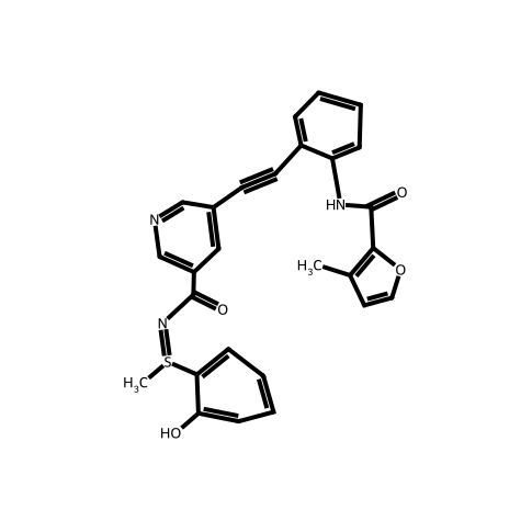 Cc1ccoc1C(=O)Nc1ccccc1C#Cc1cncc(C(=O)N=S(C)c2ccccc2O)c1